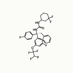 O=C(NC1CCCC(F)(F)C1)N[C@](Cc1ccccc1)(c1ccc(F)cc1)c1cc(F)cc(OC(F)(F)C(F)F)c1